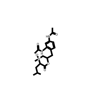 CC(=O)Nc1ccc(CC2C[N+](C)([O-])C(CC(C)C)C(=O)O2)c(NC(C)=O)c1